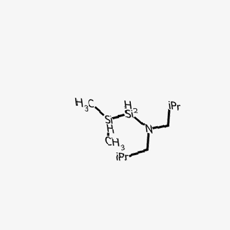 CC(C)CN(CC(C)C)[SiH2][SiH](C)C